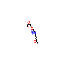 CCC(=O)CCCCCn1cc(COC[C@H]2C[C@H](OC)CCO2)nn1